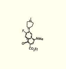 CCOC(=O)c1cc(NC)c2cc(N3CCN(C)CC3)c(F)cn2c1=O